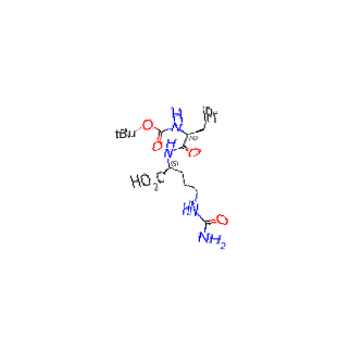 CC(C)C[C@H](NC(=O)OC(C)(C)C)C(=O)N[C@@H](CCCNC(N)=O)C(=O)O